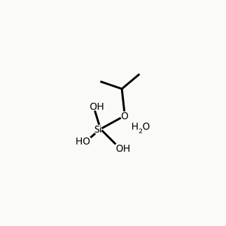 CC(C)O[Si](O)(O)O.O